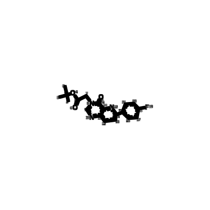 CC(C)(C)OC(=O)Cn1cnc2ccc(-c3ccc(F)cc3)nc2c1=O